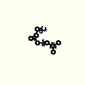 C/C=C\c1oc2c(-c3ccc4c(c3)c3ccccc3n4-c3cccc(-c4nc5cc(-c6nc(-c7ccccc7)nc(-c7ccccc7)n6)ccc5s4)c3)cccc2c1C